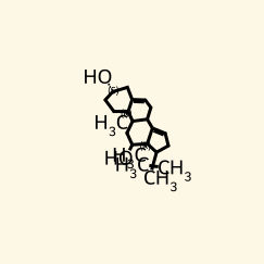 CC(C)(C)C1CC=C2C3CC=C4C[C@@H](O)CC[C@]4(C)C3CC(O)[C@@]21C